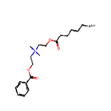 CCCCCCCCCCCCCCCC(=O)OCC[N+](C)(C)CCOC(=O)c1ccccc1